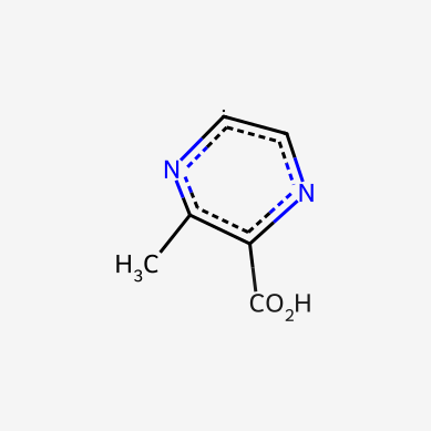 Cc1n[c]cnc1C(=O)O